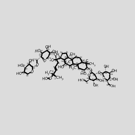 CC(C)(/C=C/C[C@](C)(O[C@@H]1O[C@H](CO[C@@H]2OC[C@@H](O)[C@H](O)[C@H]2O)[C@@H](O)[C@H](O)[C@H]1O)[C@H]1CC[C@]2(C)C1[C@H](O)CC1[C@@]3(C)C[C@@H](O)[C@H](O[C@@H]4O[C@H](CO)[C@@H](O)[C@H](O)[C@H]4O[C@@H]4O[C@H](CO)[C@@H](O)[C@H](O)[C@H]4O)C(C)(C)C3CC[C@]12C)OO